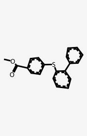 COC(=O)c1ccc(Sc2ccccc2-c2ccccc2)cc1